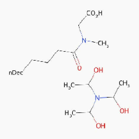 CC(O)N(C(C)O)C(C)O.CCCCCCCCCCCCCC(=O)N(C)CC(=O)O